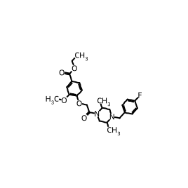 CCOC(=O)c1ccc(OCC(=O)N2CC(C)N(Cc3ccc(F)cc3)CC2C)c(OC)c1